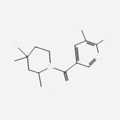 CC1CC(F)(F)CCN1C(=O)c1cnc(Cl)c(Br)c1